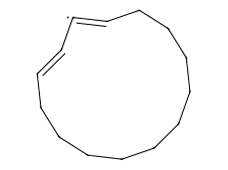 [C]1=C/CCCCCCCCCC/C=C/1